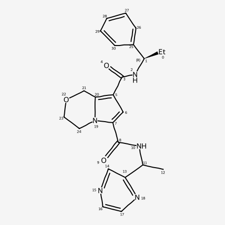 CC[C@@H](NC(=O)c1cc(C(=O)NC(C)c2cnccn2)n2c1COCC2)c1ccccc1